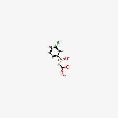 COC(=O)C[S+]([O-])c1cccc(Br)c1